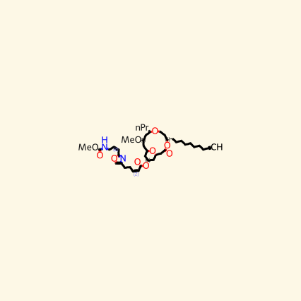 C#CCCCCCCCC[C@H]1CCOC(CCC)C[C@@H](OC)CC2C[C@@H](OC(=O)/C=C\CCc3coc(/C=C\CNC(=O)OC)n3)CC(CC(=O)O1)O2